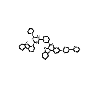 c1ccc(-c2ccc(-c3ccc4c(c3)nc(-c3cccc(-c5nc(-c6ccccc6)nc(-c6cccc7c6sc6ccccc67)n5)c3)c3sc5ccccc5c34)cc2)cc1